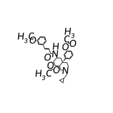 COc1cccc(C=CC(=O)N[C@H]2CC[C@]3(OC(C)=O)CN(CC4CC4)CC[C@@]3(c3cccc(OC(C)=O)c3)C2)c1